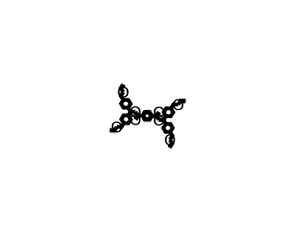 C=COCC1CCC(C(OC(=O)c2ccc(C(=O)OC(C3CCC(COC=C)CC3)C3CCC(COC=C)CC3)cc2)C2CCC(COC=C)CC2)CC1